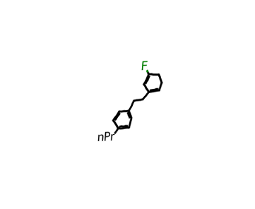 CCCc1ccc(CCC2=CCCC(F)=C2)cc1